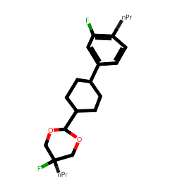 CCCc1ccc(C2CCC(C3OCC(F)(CCC)CO3)CC2)cc1F